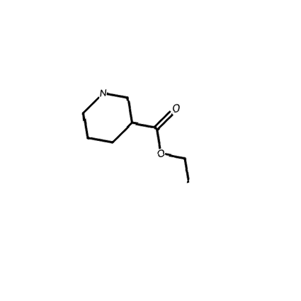 CCOC(=O)C1CCC[N]C1